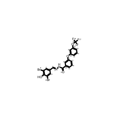 O=C(NN=Cc1cc(Br)c(O)c(Br)c1)c1cccc(Oc2cccc(OC(F)(F)F)c2)c1